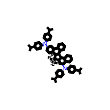 CC(C)c1ccc(N(c2ccc(C(C)C)cc2)c2ccc3c4c(c5ccccc5c3c2)-c2c(cc(N(c3ccc(C(C)C)cc3)c3ccc(C(C)C)cc3)c3ccccc23)C4([Si](C)(C)C)[Si](C)(C)C)cc1